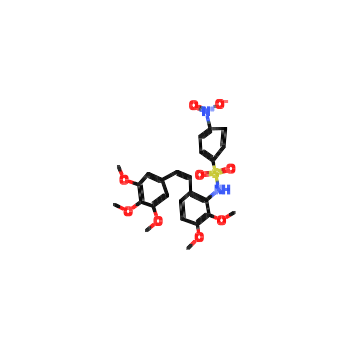 COc1cc(/C=C\c2ccc(OC)c(OC)c2NS(=O)(=O)c2ccc([N+](=O)[O-])cc2)cc(OC)c1OC